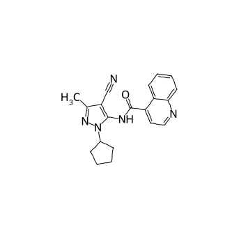 Cc1nn(C2CCCC2)c(NC(=O)c2ccnc3ccccc23)c1C#N